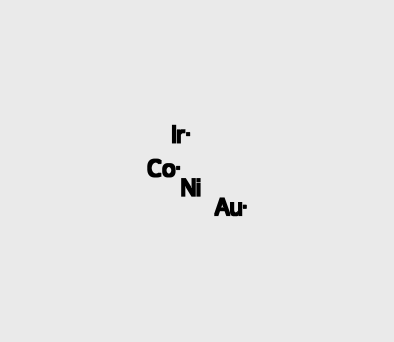 [Au].[Co].[Ir].[Ni]